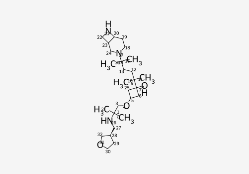 CC(C)(COC1CC(O)(C(C)(C)CCC(C)(C)N2CCC3NCC3C2)C1)NC[C@H]1CCOC1